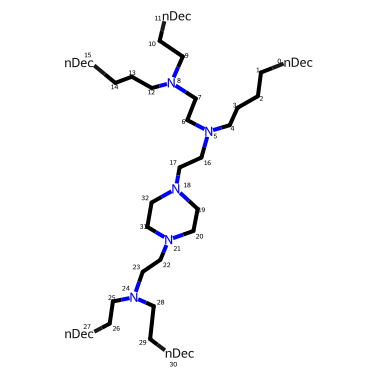 CCCCCCCCCCCCCCN(CCN(CCCCCCCCCCCC)CCCCCCCCCCCCC)CCN1CCN(CCN(CCCCCCCCCCCC)CCCCCCCCCCCC)CC1